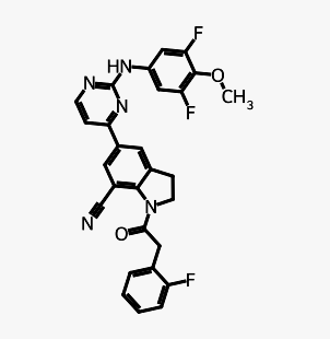 COc1c(F)cc(Nc2nccc(-c3cc(C#N)c4c(c3)CCN4C(=O)Cc3ccccc3F)n2)cc1F